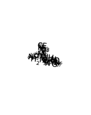 CN(C)CC1CCC(NC2=CC(N)(c3ccnc(-c4cnn(S(=O)(=O)C5CC5)c4)n3)NC=C2c2cccc(CC(F)(F)F)n2)CC1